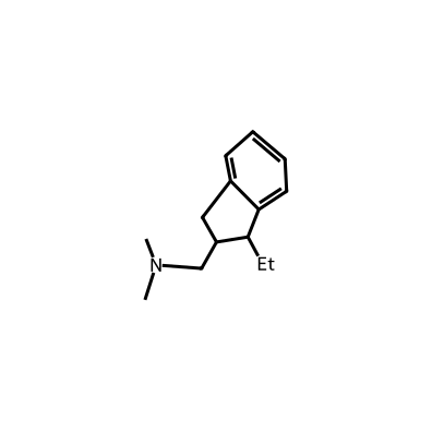 CCC1c2ccccc2CC1CN(C)C